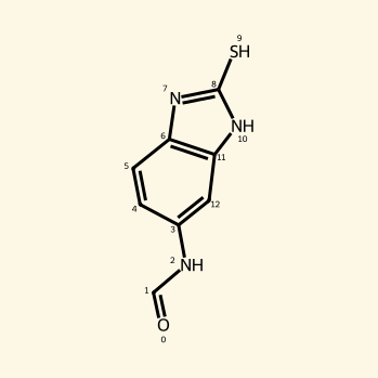 O=CNc1ccc2nc(S)[nH]c2c1